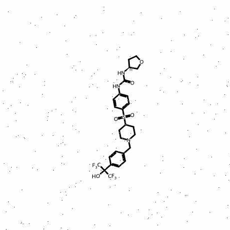 O=C(Nc1ccc(S(=O)(=O)C2CCN(Cc3ccc(C(O)(C(F)(F)F)C(F)(F)F)cc3)CC2)cc1)N[C@H]1CCOC1